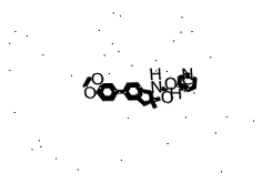 CC1(C)Cc2cc(-c3ccc4c(c3)OCCO4)ccc2C1NC(=O)O[C@@H]1CN2CCC1CC2